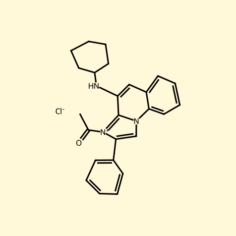 CC(=O)[n+]1c(-c2ccccc2)cn2c3ccccc3cc(NC3CCCCC3)c21.[Cl-]